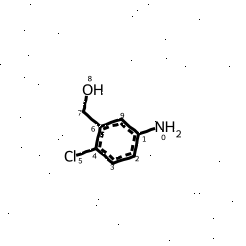 Nc1ccc(Cl)c(CO)c1